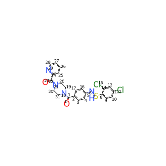 O=C(c1ccc(NSc2ccc(Cl)cc2Cl)cc1)N1CCN(C(=O)c2ccccn2)CC1